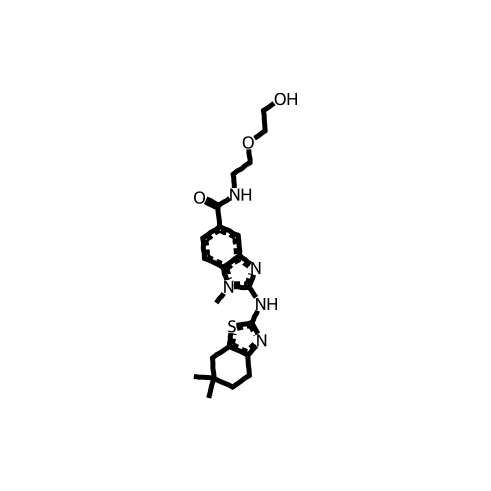 Cn1c(Nc2nc3c(s2)CC(C)(C)CC3)nc2cc(C(=O)NCCOCCO)ccc21